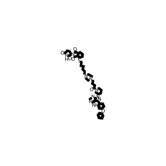 Nc1ncnc2c1c(-c1ccc(Oc3ccccc3)cc1)nn2C1CCCN(C(=O)CCCN2CCN(CCCCCCSc3cccc4c3C(=O)N(C3CCC(=O)NC3=O)C4=O)CC2)C1